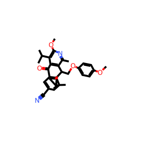 COc1ccc(OCC(c2c(C)nc(OC)c(C(C)C)c2C(=O)c2cc(C)cc(C#N)c2)C2CC2)cc1